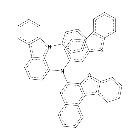 c1ccc(-n2c3ccccc3c3cccc(N(c4ccc5c(c4)sc4ccccc45)c4cc5ccccc5c5c4oc4ccccc45)c32)cc1